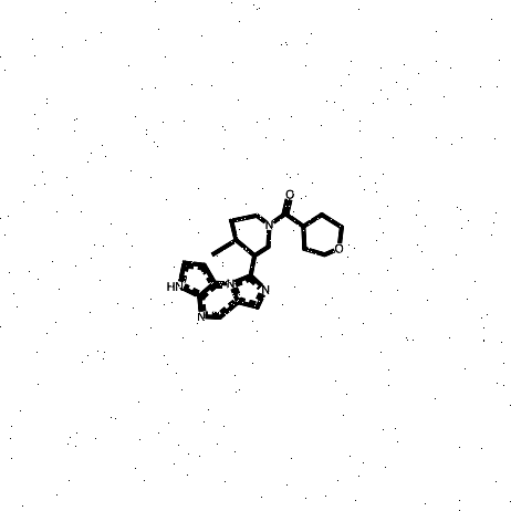 CC1CCN(C(=O)C2CCOCC2)CC1c1ncc2cnc3[nH]ccc3n12